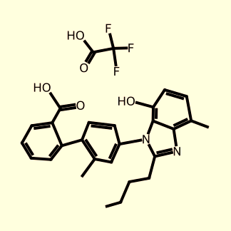 CCCCc1nc2c(C)ccc(O)c2n1-c1ccc(-c2ccccc2C(=O)O)c(C)c1.O=C(O)C(F)(F)F